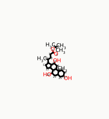 CC(CCC(=O)OC(C)(C)C)C1CCC2C1C(O)CC1C2C(O)CC2CC(O)CCC21C